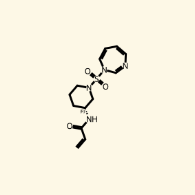 C=CC(=O)N[C@@H]1CCCN(S(=O)(=O)N2C=CC=CN=C2)C1